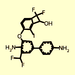 Nc1ccc(-c2cc(OC3=C=C=C4C(=C3I)C(O)C4(F)F)c(N)c(C(F)F)c2)cc1